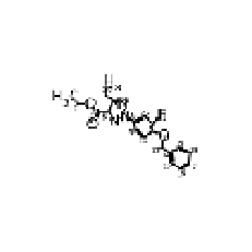 CCOC(=O)c1nn(-c2ccc(OCc3ccccc3)c(F)c2)nc1C